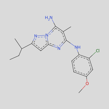 CCC(C)c1cc2nc(Nc3ccc(OC)cc3Cl)c(C)c(N)n2n1